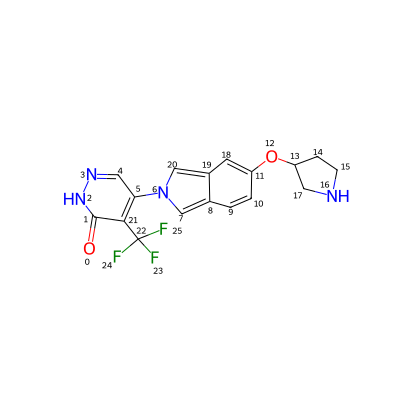 O=c1[nH]ncc(-n2cc3ccc(OC4CCNC4)cc3c2)c1C(F)(F)F